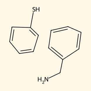 NCc1ccccc1.Sc1ccccc1